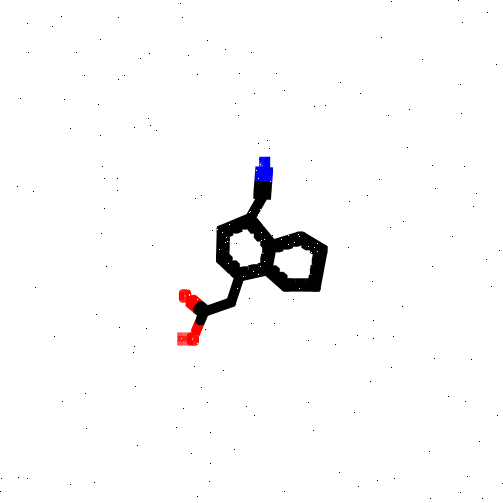 N#Cc1ccc(CC(=O)O)c2ccccc12